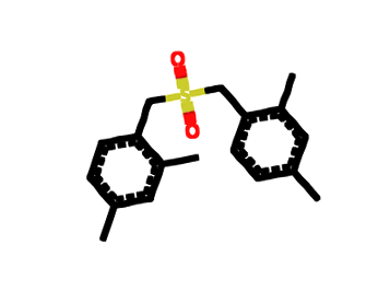 Cc1ccc(CS(=O)(=O)Cc2ccc(C)cc2C)c(C)c1